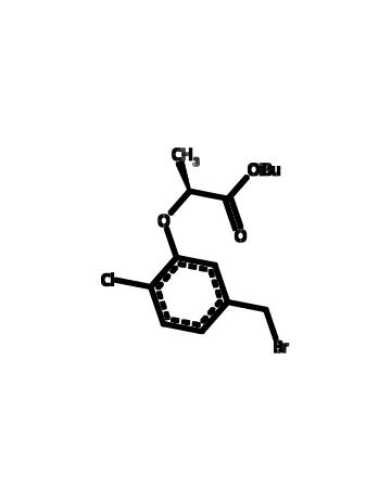 CC(C)COC(=O)[C@H](C)Oc1cc(CBr)ccc1Cl